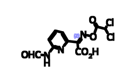 O=CNc1cccc(/C(=N/OC(=O)C(Cl)Cl)C(=O)O)n1